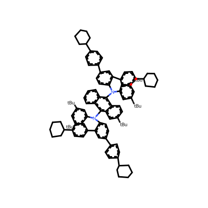 CC(C)(C)c1cc(N(c2ccc(-c3ccc(C4CCCCC4)cc3)cc2-c2ccc(C3CCCCC3)cc2)c2c3ccccc3c(N(c3cc(C(C)(C)C)cc(C(C)(C)C)c3)c3ccc(-c4ccc(C5CCCCC5)cc4)cc3-c3ccc(C4CCCCC4)cc3)c3cc(C(C)(C)C)ccc23)cc(C(C)(C)C)c1